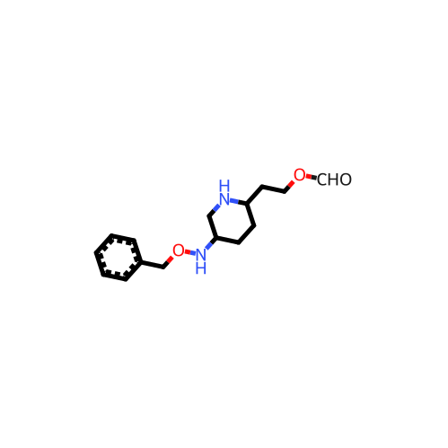 O=COCCC1CCC(NOCc2ccccc2)CN1